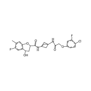 Cc1cc2c(cc1F)C(O)CC(C(=O)NC13CC(NC(=O)COc4ccc(Cl)c(F)c4)(C1)C3)O2